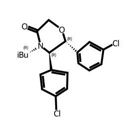 CC[C@@H](C)N1C(=O)CO[C@H](c2cccc(Cl)c2)[C@H]1c1ccc(Cl)cc1